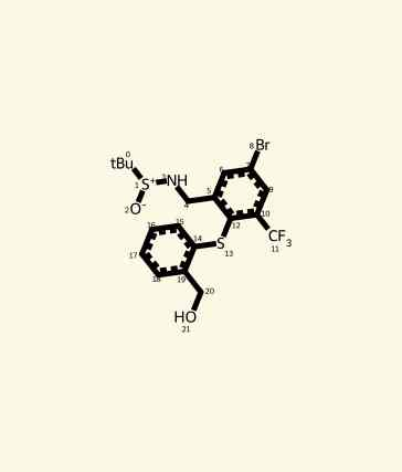 CC(C)(C)[S+]([O-])NCc1cc(Br)cc(C(F)(F)F)c1Sc1ccccc1CO